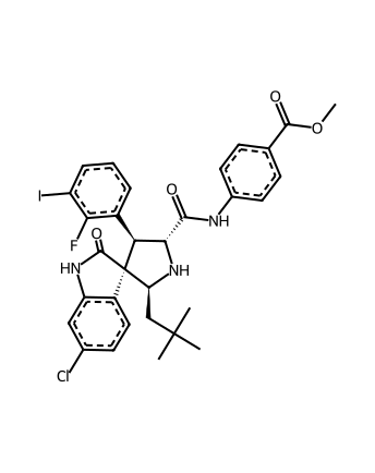 COC(=O)c1ccc(NC(=O)[C@@H]2N[C@@H](CC(C)(C)C)[C@@]3(C(=O)Nc4cc(Cl)ccc43)[C@H]2c2cccc(I)c2F)cc1